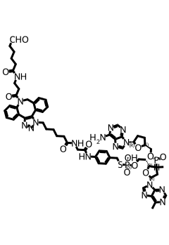 Cc1ncnc2c1ncn2[C@H]1CC(C)([PH](=O)OC[C@@H]2CC[C@H](n3cnc4c(N)ncnc43)O2)[C@@H](CCO[P@](=O)(O)SCc2ccc(NC(=O)CNC(=O)CCCCCn3nnc4c3-c3ccccc3CN(C(=O)CCNC(=O)CCCCC=O)c3ccccc3-4)cc2)O1